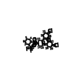 O=S(=O)(c1ccccc1C(F)(F)F)N1CCN(c2ccc(Cl)cc2Cl)C(c2ccc(Cl)cc2)C1